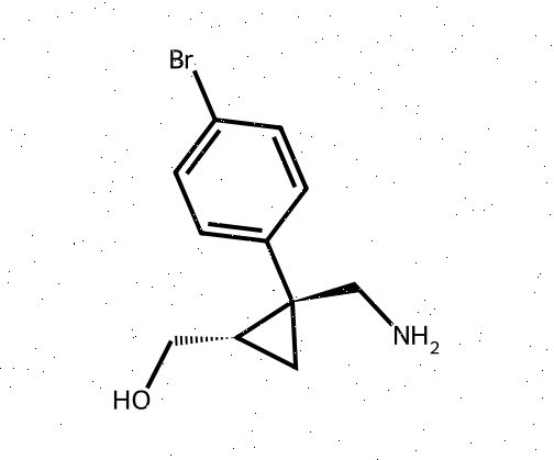 NC[C@@]1(c2ccc(Br)cc2)C[C@@H]1CO